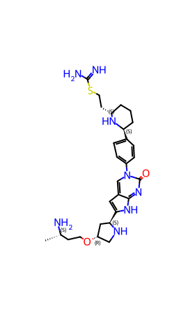 C[C@H](N)CCO[C@H]1CN[C@H](c2cc3cn(-c4ccc([C@@H]5CCC[C@@H](CCSC(=N)N)N5)cc4)c(=O)nc3[nH]2)C1